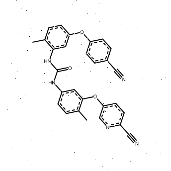 Cc1ccc(Oc2ccc(C#N)cc2)cc1NC(=O)Nc1ccc(C)c(Oc2ccc(C#N)nc2)c1